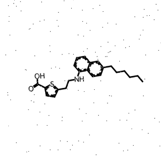 CCCCCCc1ccc2c(NCCc3ccc(C(=O)O)s3)cccc2c1